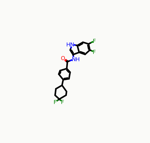 O=C(Nc1c[nH]c2cc(F)c(F)cc12)c1ccc(C2CCC(F)(F)CC2)cc1